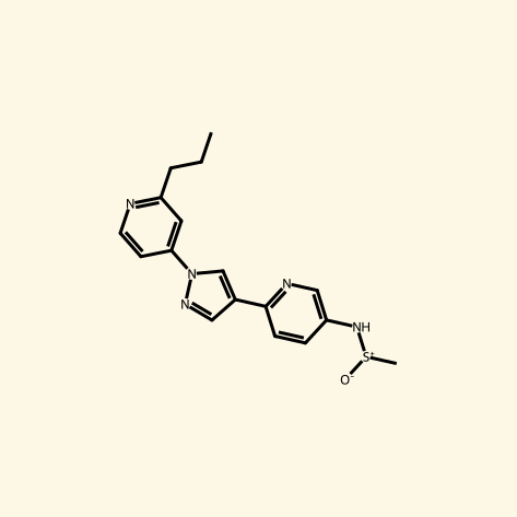 CCCc1cc(-n2cc(-c3ccc(N[S+](C)[O-])cn3)cn2)ccn1